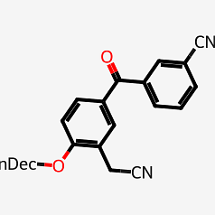 CCCCCCCCCCOc1ccc(C(=O)c2cccc(C#N)c2)cc1CC#N